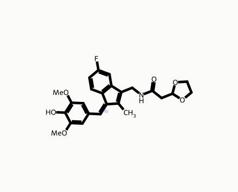 COc1cc(/C=C2/C(C)=C(CNC(=O)CC3OCCO3)c3cc(F)ccc32)cc(OC)c1O